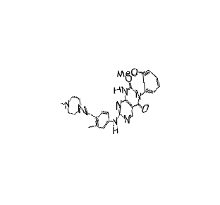 COc1ccccc1-n1c(=O)[nH]c2nc(Nc3ccc(N4CCN(C)CC4)c(C)c3)ncc2c1=O